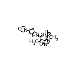 Cc1oc2ncnc(NC3(C)CC3)c2c1C(=O)NCc1ccc(N2CCOCC2)cc1